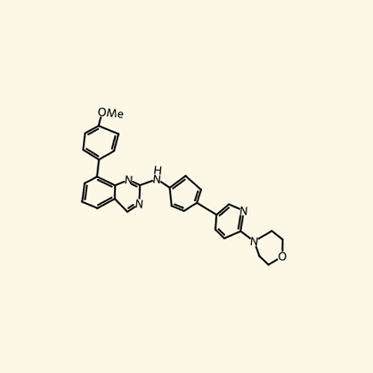 COc1ccc(-c2cccc3cnc(Nc4ccc(-c5ccc(N6CCOCC6)nc5)cc4)nc23)cc1